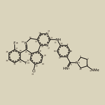 CNC1CCN(C(=N)c2ccc(Nc3ncc4c(n3)-c3ccc(Cl)cc3C(c3c(F)cccc3F)=NC4)cc2)C1